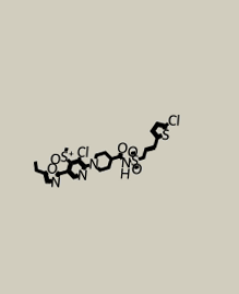 CCc1cnc(-c2cnc(N3CCC(C(=O)NS(=O)(=O)CC=Cc4ccc(Cl)s4)CC3)c(Cl)c2[S+](C)[O-])o1